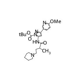 COc1ccc(-c2cc(NC(=O)C(C)CCN3CCCCC3)n(C(=O)OC(C)(C)C)n2)cn1